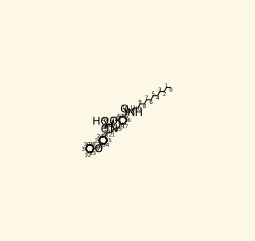 CCCCCCCCCCCCNC(=O)c1ccc(CN(CCc2ccc(Oc3ccccc3)cc2)C(=O)C(=O)O)cc1